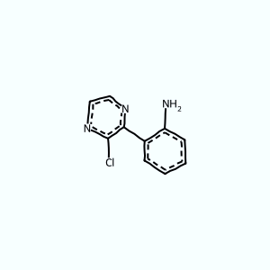 Nc1ccccc1-c1nccnc1Cl